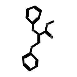 COC(=O)C(=CSc1ccccc1)Oc1ccccc1